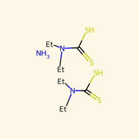 CCN(CC)C(=S)S.CCN(CC)C(=S)S.N